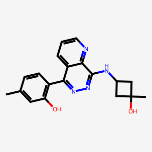 Cc1ccc(-c2nnc(NC3CC(C)(O)C3)c3ncccc23)c(O)c1